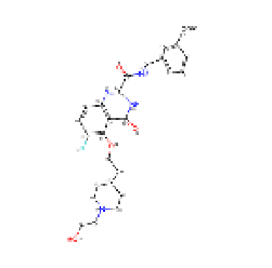 COc1cccc(CNC(=O)c2nc3ccc(F)c(OCCC4CCN(CCO)CC4)c3c(=O)[nH]2)c1